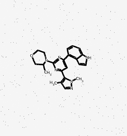 Cc1cnn(C)c1-c1cc(-c2cccc3[nH]ccc23)nc(N2CCOCC2C)n1